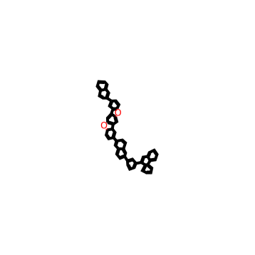 C1=CC2Oc3cc4c(cc3C2C=C1c1ccc2cc(-c3cccc(-c5cc6ccccc6c6ccccc56)c3)ccc2c1)oc1ccc(-c2ccc3ccccc3c2)cc14